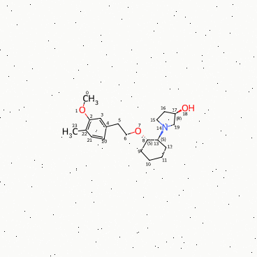 COc1cc(CCO[C@H]2CCCC[C@@H]2N2CC[C@@H](O)C2)ccc1C